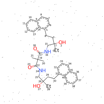 CCC(O)(CCc1cccc2ccccc12)CNC(=O)C(C)(C)C(=O)NCC(O)(CC)CCc1cccc2ccccc12